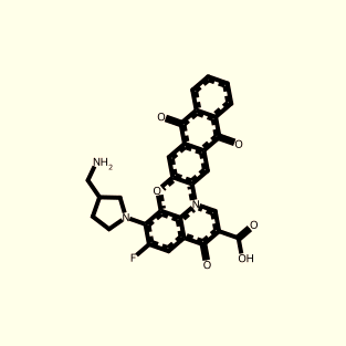 NCC1CCN(c2c(F)cc3c(=O)c(C(=O)O)cn4c5cc6c(=O)c7ccccc7c(=O)c6cc5oc2c34)C1